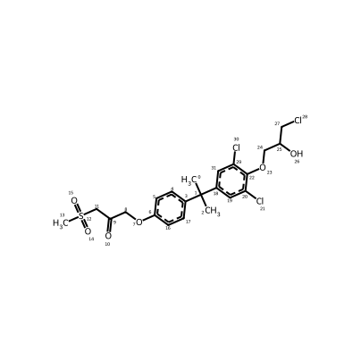 CC(C)(c1ccc(OCC(=O)CS(C)(=O)=O)cc1)c1cc(Cl)c(OCC(O)CCl)c(Cl)c1